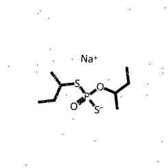 CCC(C)OP(=O)([S-])SC(C)CC.[Na+]